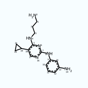 NCCCNc1nc(Nc2cccc(N)c2)ncc1C1CC1